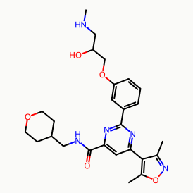 CNCC(O)COc1cccc(-c2nc(C(=O)NCC3CCOCC3)cc(-c3c(C)noc3C)n2)c1